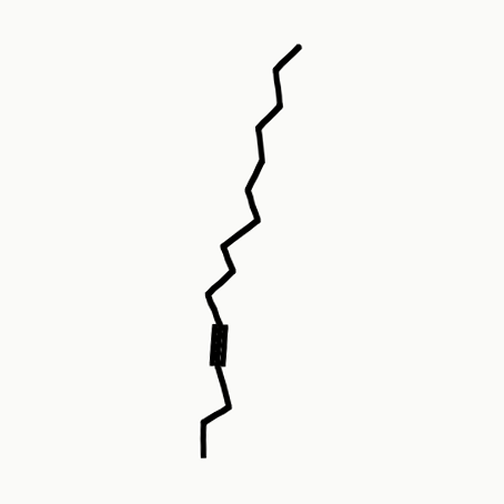 CCCC#CCCCCCCCCCC